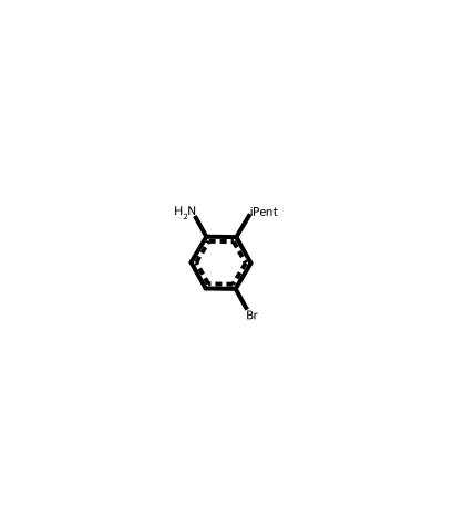 CCCC(C)c1cc(Br)ccc1N